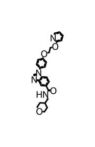 O=C(NCC1CCOCC1)c1ccc2c(c1)ncn2-c1ccc(OCCOc2ccccn2)cc1